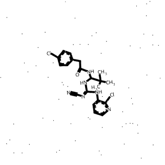 CC(C)(C)C(NC(=O)Cc1ccc(Cl)cc1)N/C(=N\C#N)Nc1cccnc1Cl